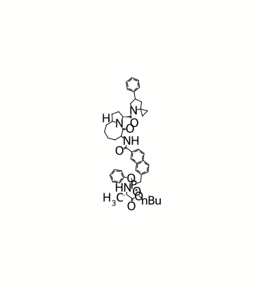 CCCCOC(=O)[C@H](C)NP(=O)(Cc1ccc2ccc(C(=O)N[C@H]3CCCC[C@H]4CC[C@@H](C(=O)N5CC(c6ccccc6)CC56CC6)N4C3=O)cc2c1)Oc1ccccc1